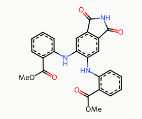 COC(=O)c1ccccc1Nc1cc2c(cc1Nc1ccccc1C(=O)OC)C(=O)NC2=O